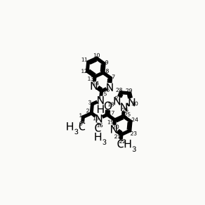 CCC(CNc1ncc2ccccc2n1)N(C)C(=O)c1nc(C)ccc1-n1nccn1